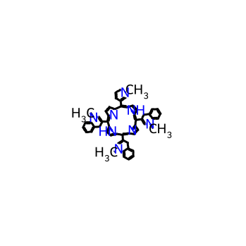 CN1C=C(c2c3nc(c(C4=CN(C)c5ccccc5C4)c4ccc([nH]4)c(C4=CN(C)c5ccccc5C4)c4nc(c(C5=CN(C)c6ccccc6C5)c5ccc2[nH]5)C=C4)C=C3)C=CC1